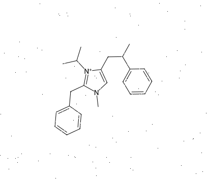 CC(Cc1cn(C)c(Cc2ccccc2)[n+]1C(C)C)c1ccccc1